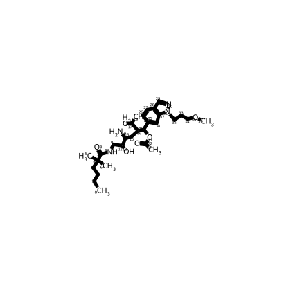 CCCCC(C)(C)C(=O)NCC(O)C(N)CC(C(C)C)C(OC(C)=O)c1ccc2cnn(CCCOC)c2c1